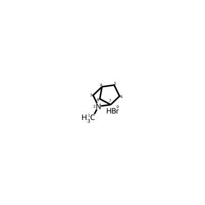 Br.CN1CC2CCC1C2